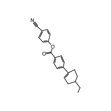 CCC1CC=C(c2ccc(C(=O)Oc3ccc(C#N)cc3)cc2)CC1